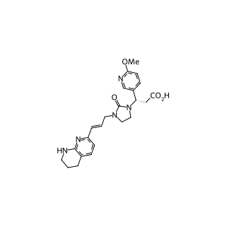 COc1ccc([C@H](CC(=O)O)N2CCN(C/C=C/c3ccc4c(n3)NCCC4)C2=O)cn1